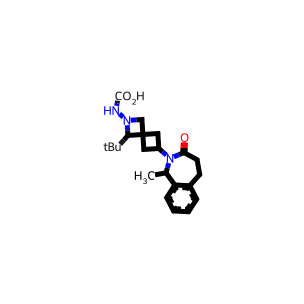 CC1c2ccccc2CCC(=O)N1C1CC2(C1)CN(NC(=O)O)C2C(C)(C)C